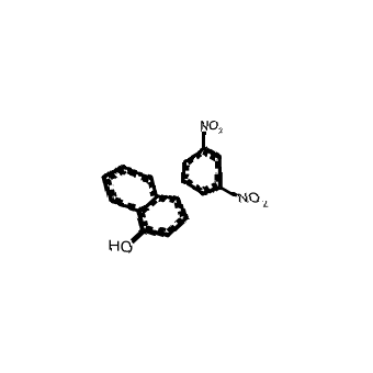 O=[N+]([O-])c1cccc([N+](=O)[O-])c1.Oc1cccc2ccccc12